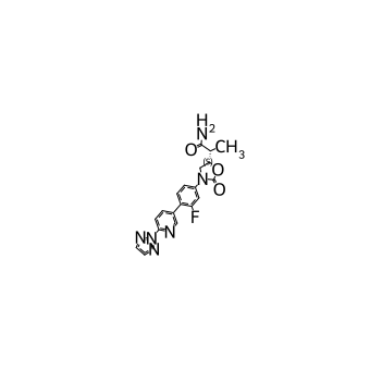 CC(C(N)=O)[C@H]1CN(c2ccc(-c3ccc(-n4nccn4)nc3)c(F)c2)C(=O)O1